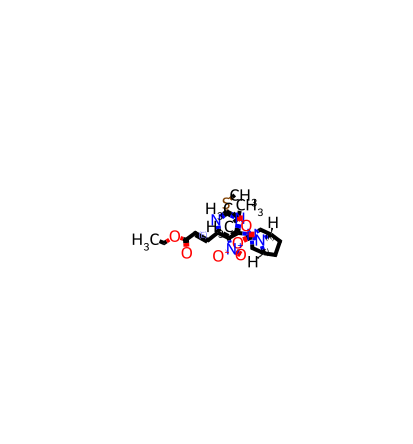 CCOC(=O)/C=C/c1nc(SC)nc(N2C[C@H]3CC[C@@H](C2)N3C(=O)OC(C)(C)C)c1[N+](=O)[O-]